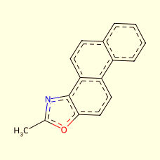 Cc1nc2c(ccc3c4ccccc4ccc32)o1